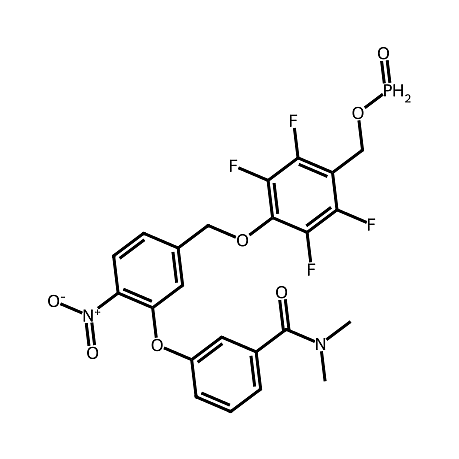 CN(C)C(=O)c1cccc(Oc2cc(COc3c(F)c(F)c(CO[PH2]=O)c(F)c3F)ccc2[N+](=O)[O-])c1